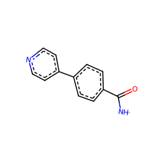 [NH]C(=O)c1ccc(-c2ccncc2)cc1